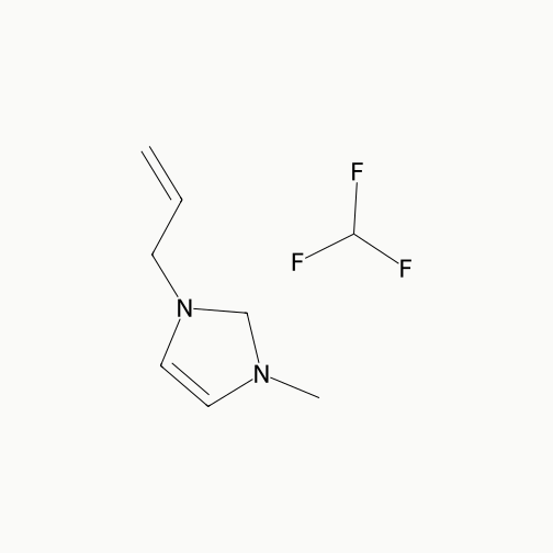 C=CCN1C=CN(C)C1.FC(F)F